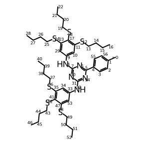 [CH2]c1ccc(-c2nc(Nc3cc(SCCCC)c(SCCCC)c(SCCCC)c3)nc(Nc3cc(SCCCC)c(SCCCC)c(SCCCC)c3)n2)cc1